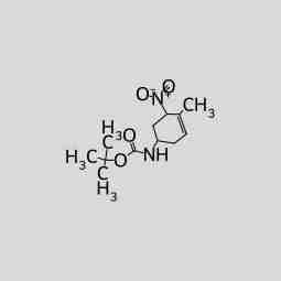 CC1=CCC(NC(=O)OC(C)(C)C)CC1[N+](=O)[O-]